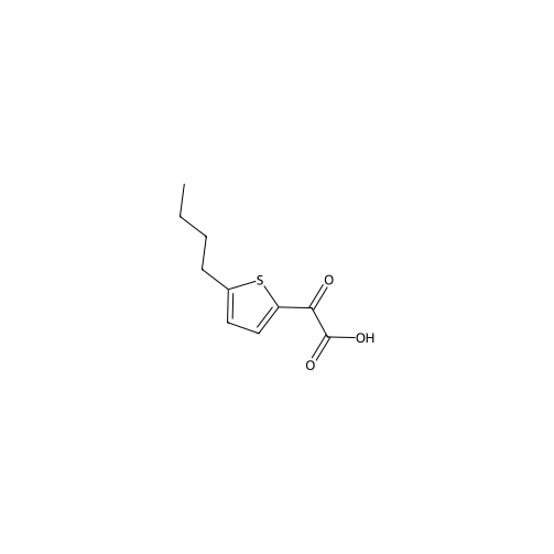 CCCCc1ccc(C(=O)C(=O)O)s1